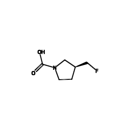 O=C(O)N1CC[C@H](CF)C1